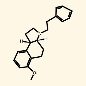 COc1cccc2c1CC[C@@H]1[C@H]2CCN1CCc1ccccc1